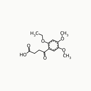 CCOc1cc(OC)c(OC)cc1C(=O)CCC(=O)O